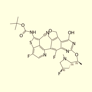 C[C@H](Oc1nc(O)c2c3c(c(-c4ncc(F)c5sc(NC(=O)OC(C)(C)C)c(C#N)c45)c(F)c2n1)COC3)[C@@H]1C[C@@H](F)CN1C